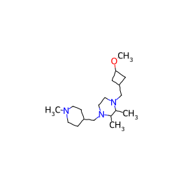 COC1CC(CN2CCN(CC3CCN(C)CC3)C(C)C2C)C1